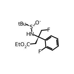 CCOC(=O)C[C@](CF)(N[S@+]([O-])C(C)(C)C)c1ccccc1F